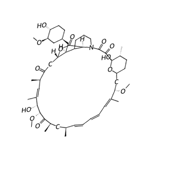 CO[C@H]1CC2CC[C@@H](C)[C@@](O)(O2)C(=O)C(=O)N2CCCC3[C@H]2C(=O)O[C@@H](CC(=O)[C@H](C)/C=C(\C)[C@@H](O)[C@@H](OC)C(=O)[C@H](C)C[C@H](C)/C=C/C=C/C=C/1C)[C@H]3C[C@@H]1CC[C@@H](O)[C@H](OC)C1